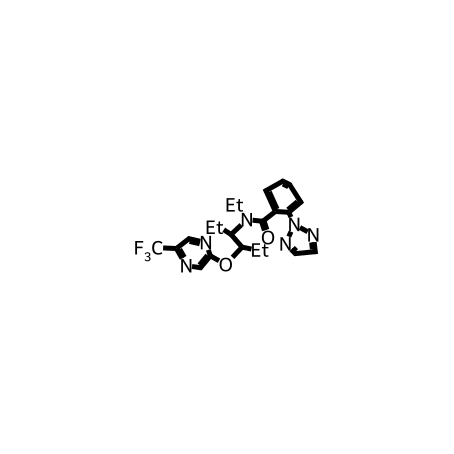 CCC(Oc1cnc(C(F)(F)F)cn1)C(CC)N(CC)C(=O)c1ccccc1-n1nccn1